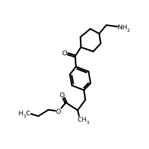 CCCOC(=O)C(C)Cc1ccc(C(=O)C2CCC(CN)CC2)cc1